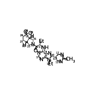 CCC(Nc1ncnc2c1nc(-c1cnc(C)nc1)n2CC)C(=O)N1C[C@@H]2CCS(=O)(=O)[C@H]2C1